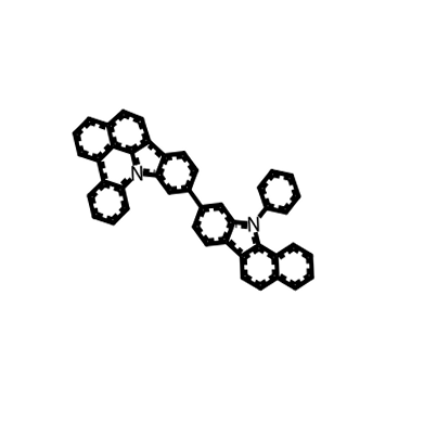 c1ccc(-n2c3cc(-c4ccc5c6ccc7cccc8c9ccccc9n(c5c4)c6c78)ccc3c3ccc4ccccc4c32)cc1